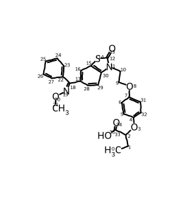 CCC(Oc1ccc(OCCn2c(=O)sc3cc(/C(=N/OC)c4ccccc4)ccc32)cc1)C(=O)O